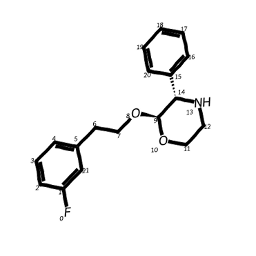 Fc1cccc(CCO[C@@H]2OCCN[C@H]2c2ccccc2)c1